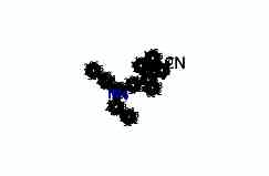 N#Cc1ccc2c(c1)C(c1ccccc1)(c1ccccc1)c1cc(-c3ccc(-c4cc(-c5ccc(-c6ccccc6)cc5)nc(-c5cccc(-c6ccccc6)c5)n4)cc3)c3ccccc3c1-2